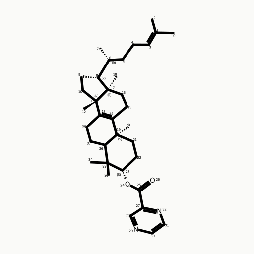 CC(C)=CCC[C@@H](C)[C@H]1CC[C@@]2(C)C3=C(CC[C@]12C)[C@@]1(C)CC[C@H](OC(=O)c2cnccn2)C(C)(C)C1CC3